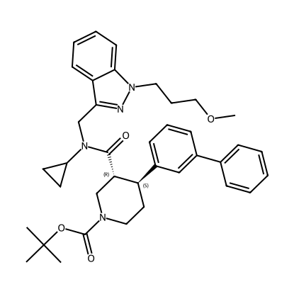 COCCCn1nc(CN(C(=O)[C@H]2CN(C(=O)OC(C)(C)C)CC[C@@H]2c2cccc(-c3ccccc3)c2)C2CC2)c2ccccc21